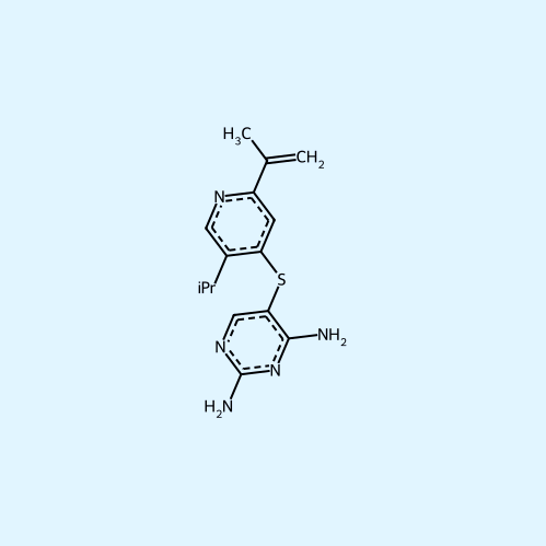 C=C(C)c1cc(Sc2cnc(N)nc2N)c(C(C)C)cn1